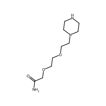 NC(=O)COCCOCCN1CCNCC1